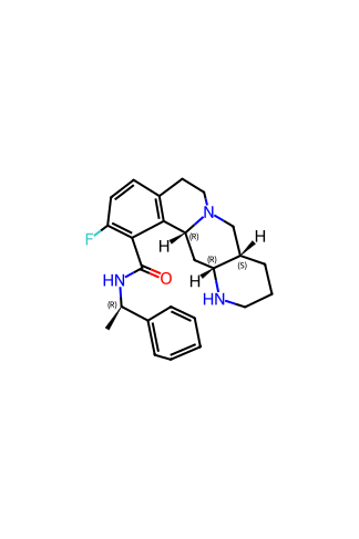 C[C@@H](NC(=O)c1c(F)ccc2c1[C@H]1C[C@H]3NCCC[C@H]3CN1CC2)c1ccccc1